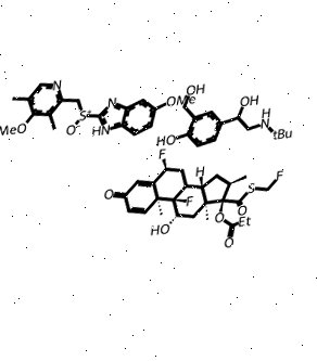 CC(C)(C)NCC(O)c1ccc(O)c(CO)c1.CCC(=O)O[C@]1(C(=O)SCF)[C@H](C)C[C@H]2C3C[C@H](F)C4=CC(=O)C=C[C@]4(C)[C@@]3(F)[C@@H](O)C[C@@]21C.COc1ccc2[nH]c([S+]([O-])Cc3ncc(C)c(OC)c3C)nc2c1